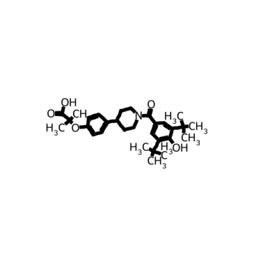 CC(C)(Oc1ccc(C2CCN(C(=O)c3cc(C(C)(C)C)c(O)c(C(C)(C)C)c3)CC2)cc1)C(=O)O